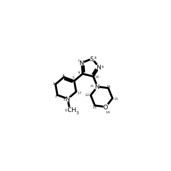 CN1CCC=C(c2nsnc2N2CCOCC2)C1